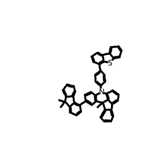 CC1(C)c2ccccc2-c2c(-c3ccc4c(c3)C3(C)c5ccccc5-c5cccc(c53)N4c3ccc(-c4cccc5c4sc4ccccc45)cc3)cccc21